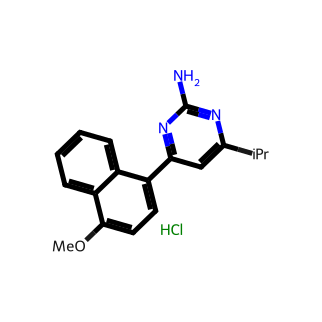 COc1ccc(-c2cc(C(C)C)nc(N)n2)c2ccccc12.Cl